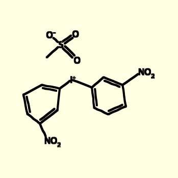 CS(=O)(=O)[O-].O=[N+]([O-])c1cccc([I+]c2cccc([N+](=O)[O-])c2)c1